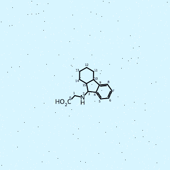 O=C(O)CNC1c2ccccc2C2CCCCC21